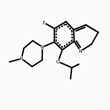 CC(C)Oc1c(N2CCN(C)CC2)c(F)cc2c1=NCCC=2